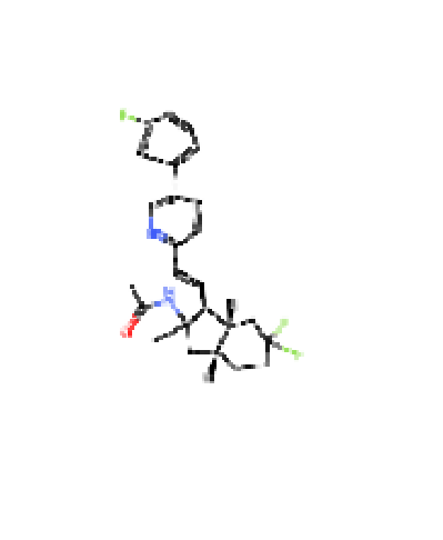 CC(=O)NC1(C)C[C@H]2CCC(F)(F)C[C@H]2[C@@H]1C=Cc1ccc(-c2cccc(F)c2)cn1